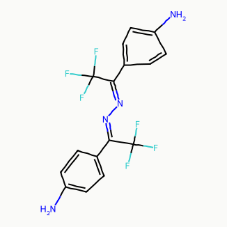 Nc1ccc(/C(=N/N=C(/c2ccc(N)cc2)C(F)(F)F)C(F)(F)F)cc1